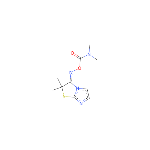 CN(C)C(=O)ON=C1n2ccnc2SC1(C)C